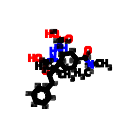 CN(C)C(=O)[C@H]1CC[C@](NC(=O)O)(C(C)(C)CCc2ccccc2)[C@H](NC(=O)O)C1